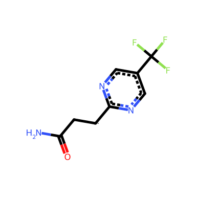 NC(=O)C[CH]c1ncc(C(F)(F)F)cn1